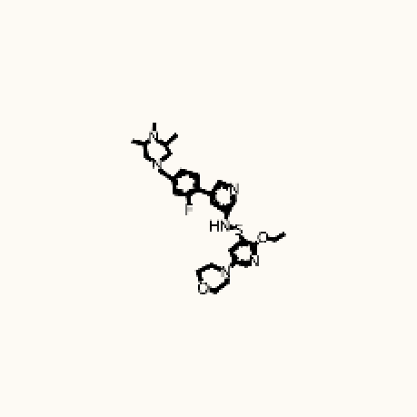 CCOc1ncc(N2CCOCC2)cc1SNc1cncc(-c2ccc(CN3CC(C)N(C)C(C)C3)cc2F)c1